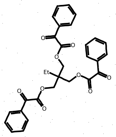 CCC(COC(=O)C(=O)c1ccccc1)(COC(=O)C(=O)c1ccccc1)COC(=O)C(=O)c1ccccc1